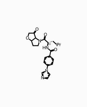 CC(C)C[C@H](NC(=O)c1ccc(-n2ccnc2)cc1)C(=O)N1CCC2OCC(=O)C21